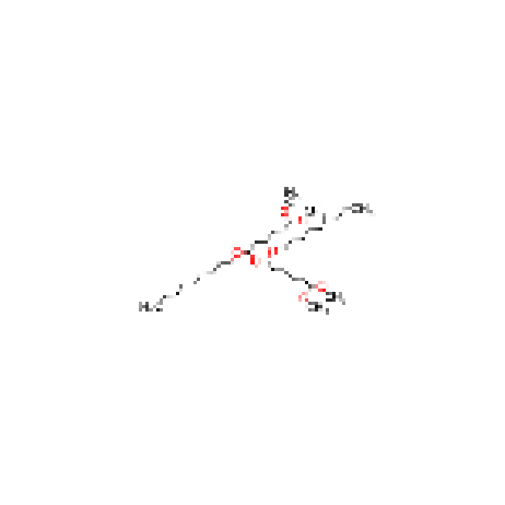 CCCCCCCCCOC(C=CCCC(OC)OC)OC(C=CCCC(OC)OC)OCCCCCCCCC